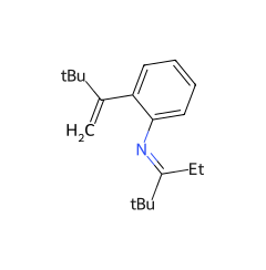 C=C(c1ccccc1/N=C(\CC)C(C)(C)C)C(C)(C)C